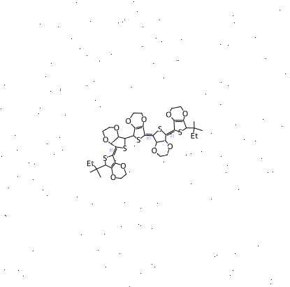 CCC(C)(C)C1S/C(=C2/S/C(=C3/SC(C4S/C(=C5/SC(C(C)(C)CC)C6=C5OCCO6)C5OCCOC54)C4=C3OCCO4)C3OCCOC23)C2=C1OCCO2